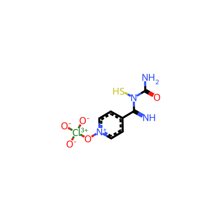 N=C(c1cc[n+](O[Cl+3]([O-])([O-])[O-])cc1)N(S)C(N)=O